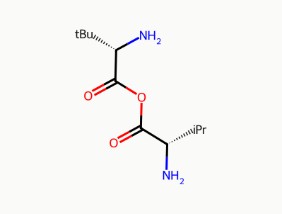 CC(C)[C@H](N)C(=O)OC(=O)[C@@H](N)C(C)(C)C